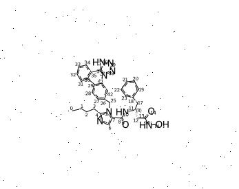 CCCCc1ncc(C(=O)N[C@@H](CC(=O)NO)Cc2ccccc2)n1Cc1ccc(-c2ccccc2-c2nnn[nH]2)cc1